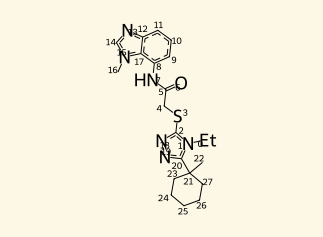 CCn1c(SCC(=O)Nc2cccc3ncn(C)c23)nnc1C1(C)CCCCC1